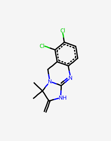 C=C1NC2=Nc3ccc(Cl)c(Cl)c3CN2C1(C)C